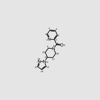 O=C(c1ccccn1)N1CCC(n2cccn2)CC1